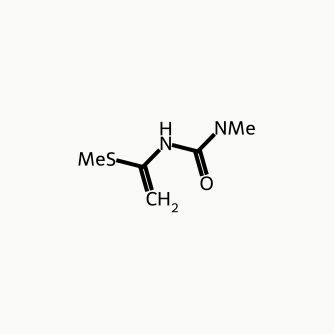 C=C(NC(=O)NC)SC